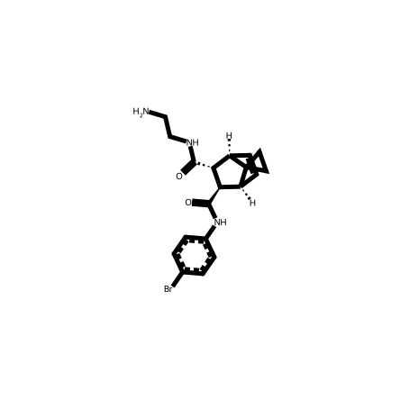 NCCNC(=O)[C@H]1[C@H](C(=O)Nc2ccc(Br)cc2)[C@@H]2C=C[C@H]1C21CC1